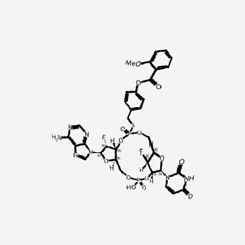 COc1ccccc1C(=O)Oc1ccc(CSP2(=O)OC[C@H]3O[C@@H](n4ccc(=O)[nH]c4=O)[C@H](OP(=O)(O)OC[C@H]4O[C@@H](n5cnc6c(N)ncnc65)[C@H](F)[C@@H]4O2)[C@@H]3F)cc1